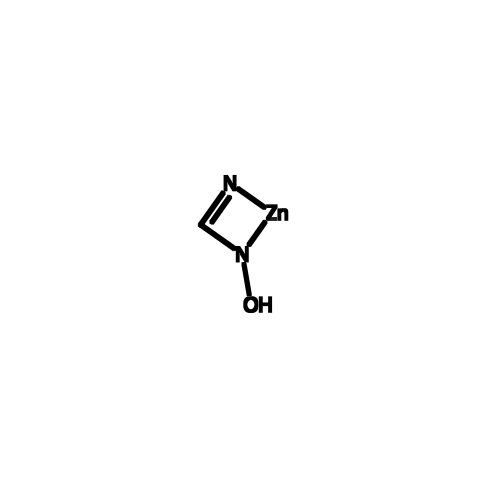 O[N]1C=[N][Zn]1